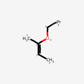 C/C=C(/C)OCC(C)C